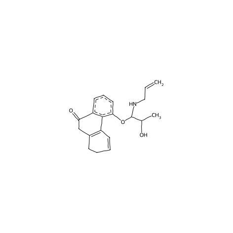 C=CCNC(Oc1cccc2c1C1=C(CCC=C1)CC2=O)C(C)O